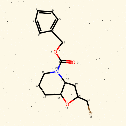 O=C(OCc1ccccc1)N1CCCC2OC(CBr)CC21